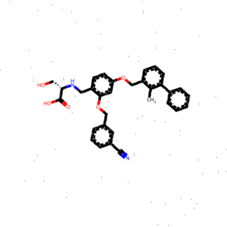 Cc1c(COc2ccc(CN[C@@H](CO)C(=O)O)c(OCc3cccc(C#N)c3)c2)cccc1-c1ccccc1